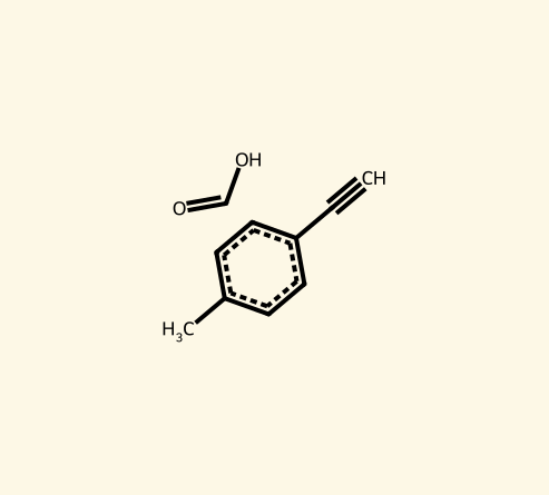 C#Cc1ccc(C)cc1.O=CO